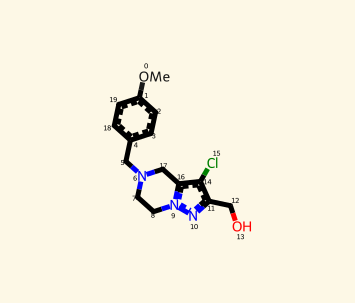 COc1ccc(CN2CCn3nc(CO)c(Cl)c3C2)cc1